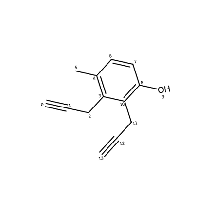 C#CCc1c(C)ccc(O)c1CC#C